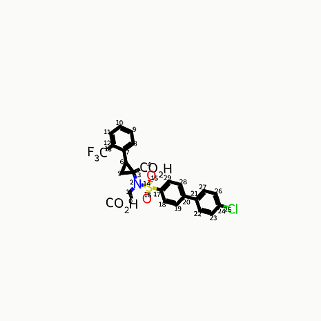 O=C(O)CN(C1(C(=O)O)CC1c1ccccc1C(F)(F)F)S(=O)(=O)c1ccc(-c2ccc(Cl)cc2)cc1